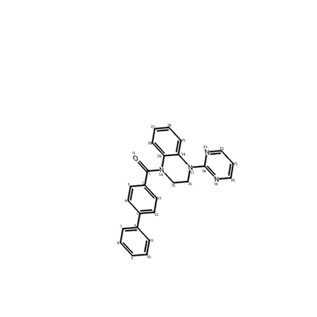 O=C(c1ccc(-c2ccccc2)cc1)N1CCN(c2ncccn2)c2ccccc21